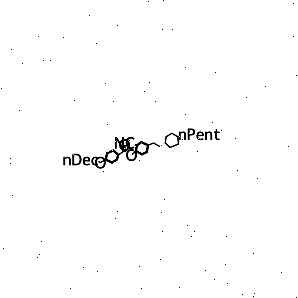 CCCCCCCCCCOc1ccc(C(=O)Oc2ccc(CC[C@H]3CC[C@H](CCCCC)CC3)cc2C#N)cc1